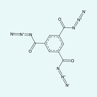 [N-]=[N+]=NC(=O)c1cc(C(=O)N=[N+]=[N-])cc(C(=O)N=[N+]=[N-])c1